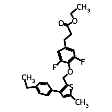 CCOC(=O)CCc1cc(F)c(OCc2sc(C)cc2-c2ccc(CC)cc2)c(F)c1